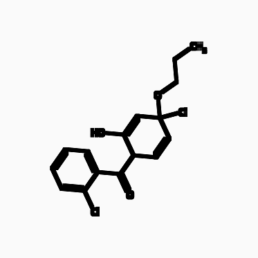 CCCOC1(Cl)C=CC(C(=O)c2ccccc2Cl)C(O)=C1